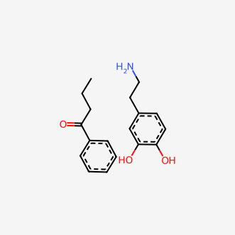 CCCC(=O)c1ccccc1.NCCc1ccc(O)c(O)c1